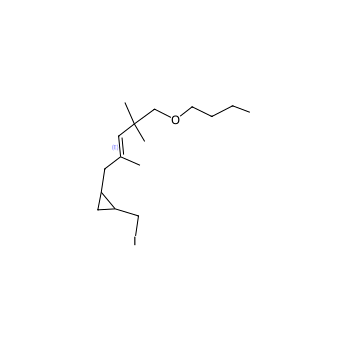 CCCCOCC(C)(C)/C=C(\C)CC1CC1CI